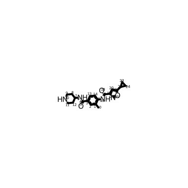 Cc1cc(C(=O)NC2CCNCC2)ccc1NC(=O)c1cc(C2CC2)on1